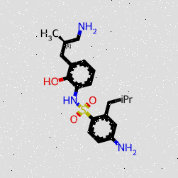 CC(C)Cc1cc(N)ccc1S(=O)(=O)Nc1cccc(C[C@@H](C)CN)c1O